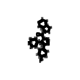 O=C(N1CCc2ccccc21)n1nnc(-c2ccc(F)cc2)c1-c1ccncc1